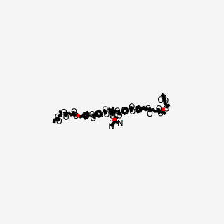 C=CC(=O)OCC(C)OCC(C)OC(=O)CCC(=O)OCCc1ccc(OC(=O)[C@H]2CC[C@H](C(=O)Oc3c(C)c(C)c(OC(=O)[C@H]4CC[C@H](C(=O)Oc5ccc(CCOC(=O)CCC(=O)OC(C)COC(=O)C=C)cc5)CC4)c4c3SC(=C(C#N)C#N)S4)CC2)cc1